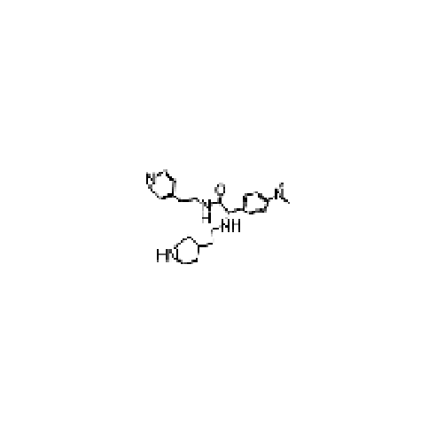 CN(C)c1ccc(C(NCCC2CCNCC2)C(=O)NCCc2ccncc2)cc1